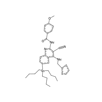 CCC[CH2][Sn]([CH2]CCC)([CH2]CCC)[c]1ccc2nc(NC(=O)c3ccc(OC)cc3)c(C#N)c(NCc3cccs3)c2c1